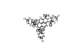 CN1CCN([S+]([O-])c2cc(N)c3ccc4c(S(=O)(=O)N5CCN(C)CC5)cc(S(=O)(=O)N5CCN(C)CC5)c5ccc2c3c45)CC1